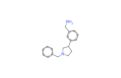 NCc1cccc(C2CCN(Cc3ccccc3)C2)c1